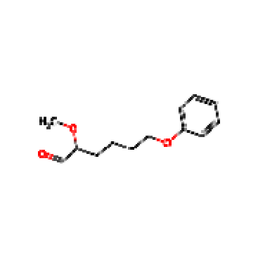 COC(C=O)CCCCOc1cc[c]cc1